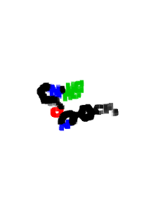 CN1CCC[C@H]1COc1cncc(-c2ccc(C(F)(F)F)cc2)c1.Cl.Cl